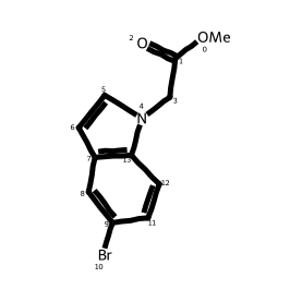 COC(=O)Cn1ccc2cc(Br)ccc21